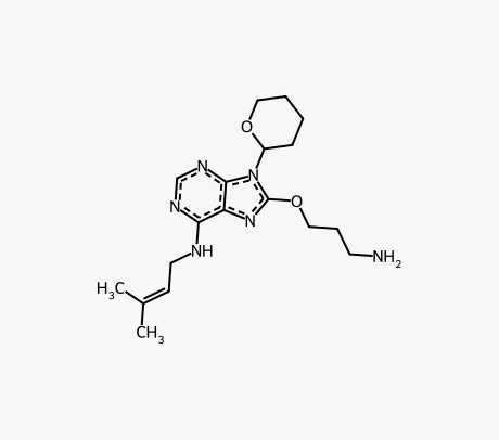 CC(C)=CCNc1ncnc2c1nc(OCCCN)n2C1CCCCO1